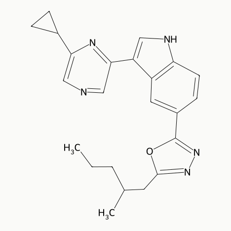 CCCC(C)Cc1nnc(-c2ccc3[nH]cc(-c4cncc(C5CC5)n4)c3c2)o1